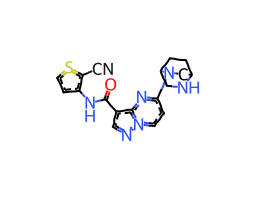 N#Cc1sccc1NC(=O)c1cnn2ccc(N3CC4CCC3CN4)nc12